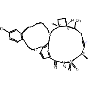 C[C@@H]1/C=C/CC(O)[C@@H]2CC[C@H]2CN2CCCCc3cc(Cl)ccc3COc3ccc(cc32)C(=O)NS(=O)(=O)C1